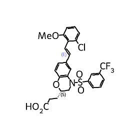 COc1cccc(Cl)c1/C=C/c1ccc2c(c1)N(S(=O)(=O)c1cccc(C(F)(F)F)c1)C[C@H](CCC(=O)O)O2